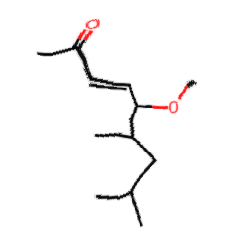 COC(C=CC(C)=O)C(C)CC(C)C